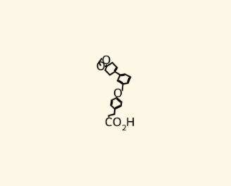 O=C(O)CCc1ccc(OCc2cccc(C3=CCC4(CC3)OCCO4)c2)cc1